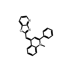 CN1C(c2ccccc2)=C/C(=C\c2nc3ncccc3o2)c2ccccc21